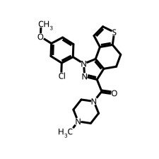 COc1ccc(-n2nc(C(=O)N3CCN(C)CC3)c3c2-c2ccsc2CC3)c(Cl)c1